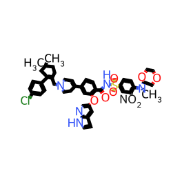 CN(c1ccc(S(=O)(=O)NC(=O)c2ccc(C3=CCN(CC4=C(c5ccc(Cl)cc5)CC(C)(C)CC4)CC3)cc2Oc2cnc3[nH]ccc3c2)cc1[N+](=O)[O-])C1COCCO1